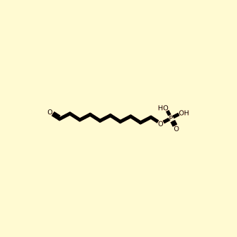 O=CCCCCCCCCCOP(=O)(O)O